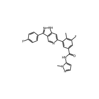 Cc1c(F)cc(C(=O)Nc2ccnn2C)cc1-c1cc2[nH]nc(-c3ccc(F)cc3)c2cn1